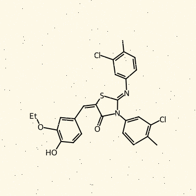 CCOc1cc(/C=C2/S/C(=N\c3ccc(C)c(Cl)c3)N(c3ccc(C)c(Cl)c3)C2=O)ccc1O